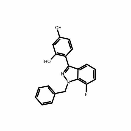 Oc1ccc(-c2nn(Cc3ccccc3)c3c(F)cccc23)c(O)c1